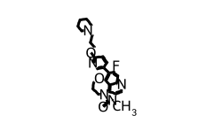 Cn1c(=O)n2c3c4c(c(-c5ccc(OCCCN6CCCCC6)nc5)c(F)cc4ncc31)OCCC2